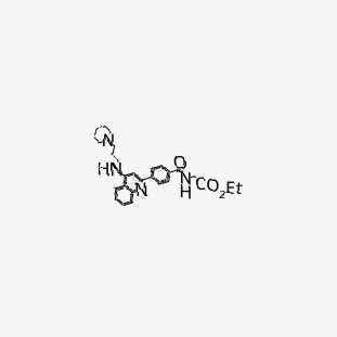 CCOC(=O)CNC(=O)c1ccc(-c2cc(NCCCN3CCCCC3)c3ccccc3n2)cc1